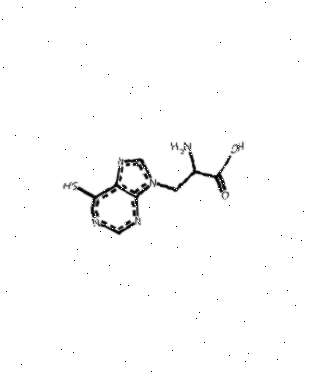 NC(Cn1cnc2c(S)ncnc21)C(=O)O